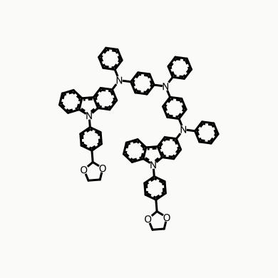 c1ccc(N(c2ccc(N(c3ccccc3)c3ccc4c(c3)c3ccccc3n4-c3ccc(C4OCCO4)cc3)cc2)c2ccc(N(c3ccccc3)c3ccc4c(c3)c3ccccc3n4-c3ccc(C4OCCO4)cc3)cc2)cc1